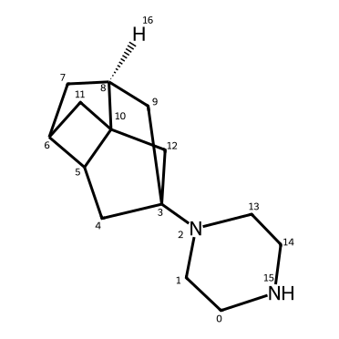 C1CN(C23CC4C5C[C@@H](C2)C4(C5)C3)CCN1